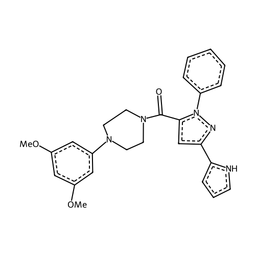 COc1cc(OC)cc(N2CCN(C(=O)c3cc(-c4ccc[nH]4)nn3-c3ccccc3)CC2)c1